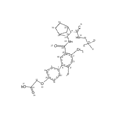 COc1cc(F)c(-c2ccc(OCC(=O)O)cc2)cc1C(=O)NC1C2CCC(C2)C1C(=O)NCC(C)(C)C